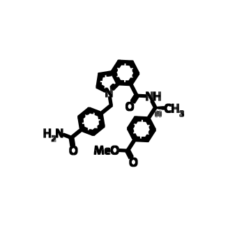 COC(=O)c1ccc([C@H](C)NC(=O)c2cccc3ccn(Cc4ccc(C(N)=O)cc4)c23)cc1